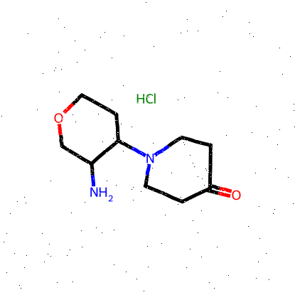 Cl.NC1COCCC1N1CCC(=O)CC1